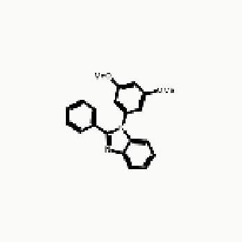 COc1cc(OC)cc(-n2c(-c3ccccc3)nc3ccccc32)c1